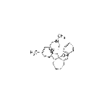 Cc1ccc(CC2(O)/C(=C\c3ccccc3)CCCCC2CN2CCN(C)CC2)cc1